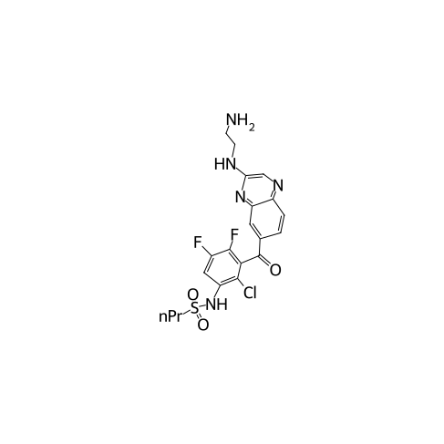 CCCS(=O)(=O)Nc1cc(F)c(F)c(C(=O)c2ccc3ncc(NCCN)nc3c2)c1Cl